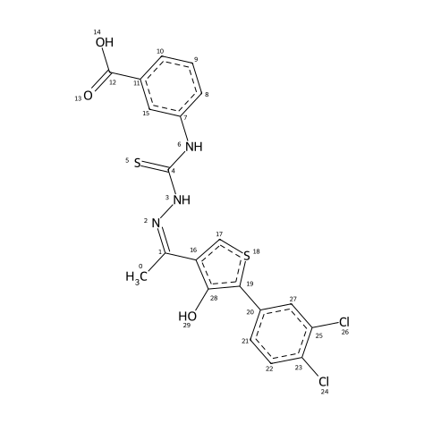 CC(=NNC(=S)Nc1cccc(C(=O)O)c1)c1csc(-c2ccc(Cl)c(Cl)c2)c1O